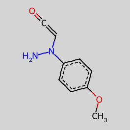 COc1ccc(N(N)C=C=O)cc1